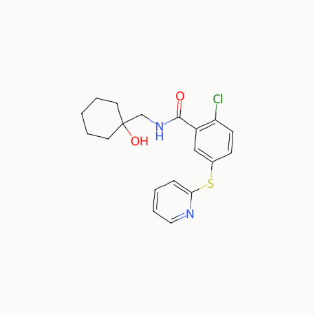 O=C(NCC1(O)CCCCC1)c1cc(Sc2ccccn2)ccc1Cl